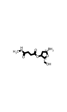 B[C@H]1CC(OC(=O)CCC(=O)NC)[C@@H](CO)O1